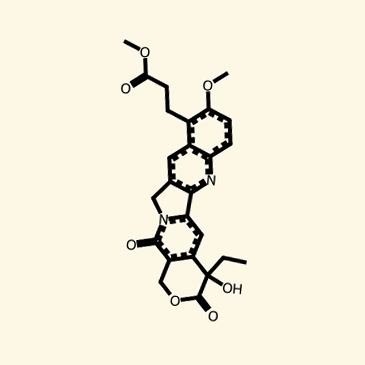 CCC1(O)C(=O)OCc2c1cc1n(c2=O)Cc2cc3c(CCC(=O)OC)c(OC)ccc3nc2-1